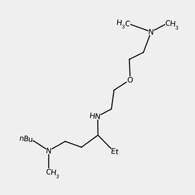 CCCCN(C)CCC(CC)NCCOCCN(C)C